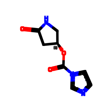 O=C1C[C@H](OC(=O)n2ccnc2)CN1